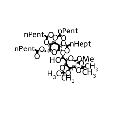 CCCCCCCC(=O)O[C@@H]1[C@H](OC(O)[C@@H](OCOC)[C@H]2OC(C)(C)O[C@@H]2[C@@H]2COC(C)(C)O2)O[C@H](COC(=O)CCCCC)[C@@H](OC(=O)CCCCC)[C@@H]1OC(=O)CCCCC